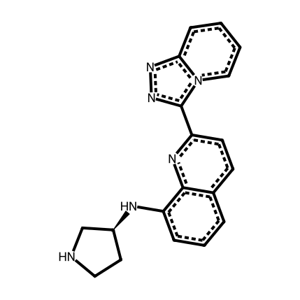 c1cc(N[C@H]2CCNC2)c2nc(-c3nnc4ccccn34)ccc2c1